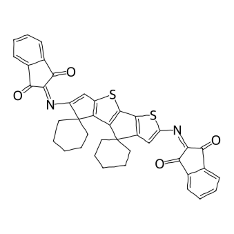 O=c1c(=NC2=Cc3sc4c(c3C23CCCCC3)C2(CCCCC2)c2cc(N=c3c(=O)c5ccccc5c3=O)sc2-4)c(=O)c2ccccc12